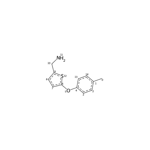 Cc1ccc(Oc2ccc(CN)s2)cc1